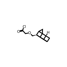 O=C(Cl)COC[C@@]12C3CC34[C@@H]3CC15C3C452